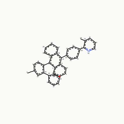 Cc1ccc(-c2c3ccccc3c(-c3ccc(-c4ncccc4C)cc3)c3ccccc23)c(-c2ccccc2)c1